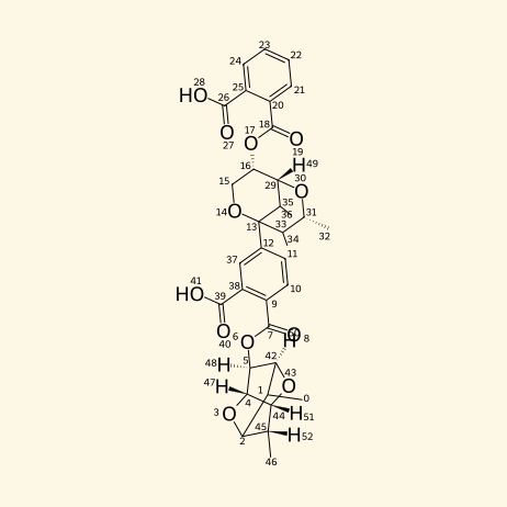 CC1C2O[C@@H]3[C@@H](OC(=O)c4ccc(C56OC[C@H](OC(=O)c7ccccc7C(=O)O)[C@H](O[C@H](C)C5C)C6C)cc4C(=O)O)[C@H]1O[C@@H]3[C@@H]2C